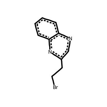 BrCCc1cnc2ccccc2n1